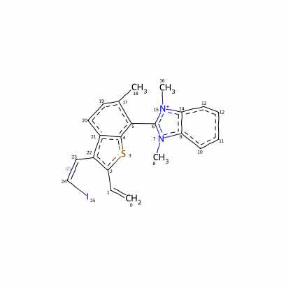 C=Cc1sc2c(-c3n(C)c4ccccc4[n+]3C)c(C)ccc2c1/C=C\I